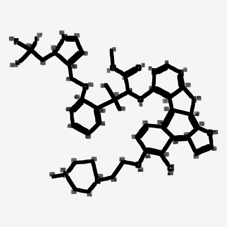 COC(=O)C(Oc1ncnc2sc3c4occc4c4c(Cl)c(OCCN5CCN(C)CC5)ccc4c3c12)C(C)(C)c1ccccc1OCc1ccnn1CC(F)(F)F